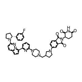 O=C1CCC(N2C(=O)c3ccc(N4CCC(CN5CCN(c6cccc(-c7ccc8ccc(N9CCC[C@@H]9c9cccc(F)c9)nn78)n6)CC5)C4)cc3C2=O)C(=O)N1